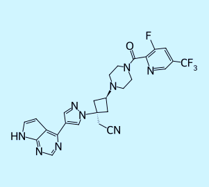 N#CC[C@]1(n2cc(-c3ncnc4[nH]ccc34)cn2)C[C@@H](N2CCN(C(=O)c3ncc(C(F)(F)F)cc3F)CC2)C1